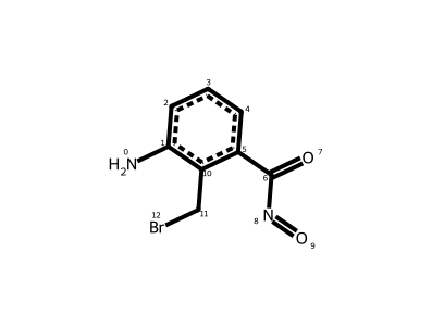 Nc1cccc(C(=O)N=O)c1CBr